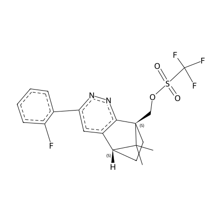 CC1(C)[C@@H]2CC[C@@]1(COS(=O)(=O)C(F)(F)F)c1nnc(-c3ccccc3F)cc12